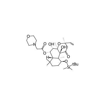 C=C[C@@]1(C)CC(=O)[C@]2(O)[C@@]3(C)[C@@H](O[Si](C)(C)C(C)(C)C)CCC(C)(C)[C@@H]3[C@H](OC(=O)CN3CCOCC3)[C@H](O)[C@@]2(C)O1